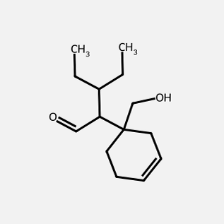 CCC(CC)C(C=O)C1(CO)CC=CCC1